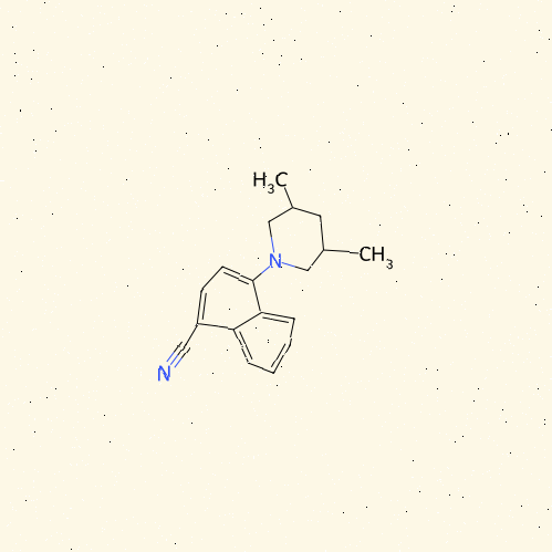 CC1CC(C)CN(c2ccc(C#N)c3ccccc23)C1